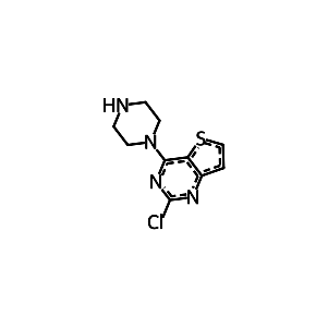 Clc1nc(N2CCNCC2)c2sccc2n1